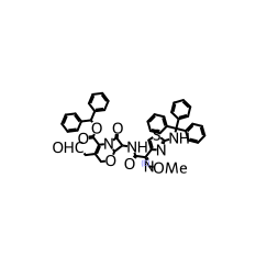 CO/N=C(/C(=O)NC1C(=O)N2C(C(=O)OC(c3ccccc3)c3ccccc3)=C(CC=O)COC12)c1csc(NC(c2ccccc2)(c2ccccc2)c2ccccc2)n1